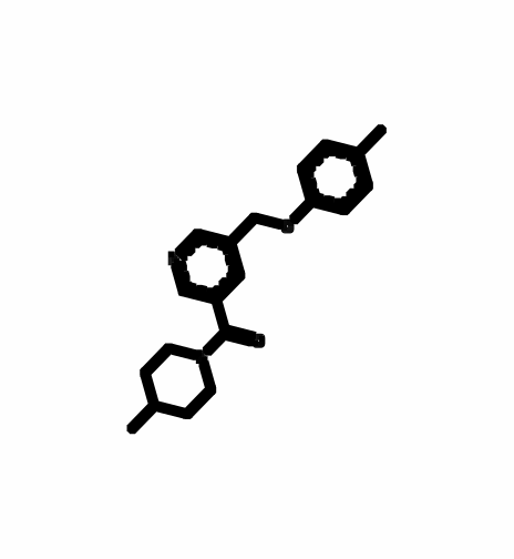 Cc1ccc(OCc2cncc(C(=O)N3CCC(C)CC3)c2)cc1